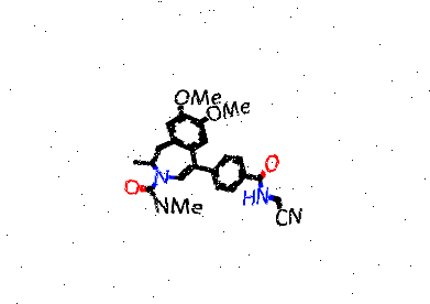 CNC(=O)N1C=C(c2ccc(C(=O)NCC#N)cc2)c2cc(OC)c(OC)cc2CC1C